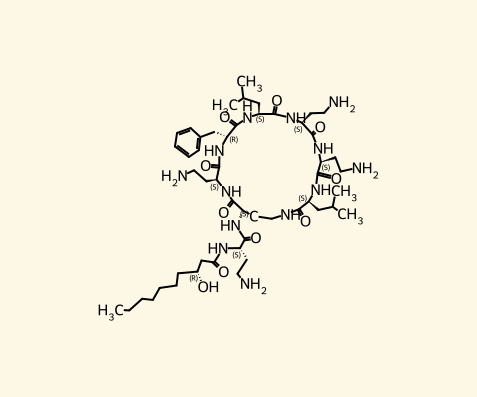 CCCCCCC[C@@H](O)CC(=O)N[C@@H](CCN)C(=O)N[C@H]1CCNC(=O)[C@H](CC(C)C)NC(=O)[C@H](CCN)NC(=O)[C@H](CCN)NC(=O)[C@H](CC(C)C)NC(=O)[C@@H](Cc2ccccc2)NC(=O)[C@H](CCN)NC1=O